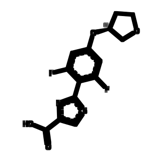 O=C(O)c1csc(-c2c(F)cc(O[C@H]3CCOC3)cc2F)n1